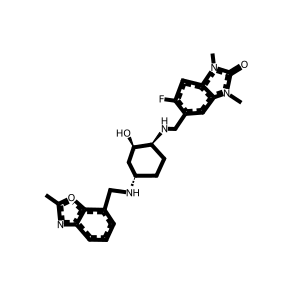 Cc1nc2cccc(CN[C@H]3CC[C@H](NCc4cc5c(cc4F)n(C)c(=O)n5C)[C@H](O)C3)c2o1